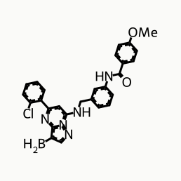 Bc1cnn2c(NCc3cccc(NC(=O)c4ccc(OC)cc4)c3)cc(-c3ccccc3Cl)nc12